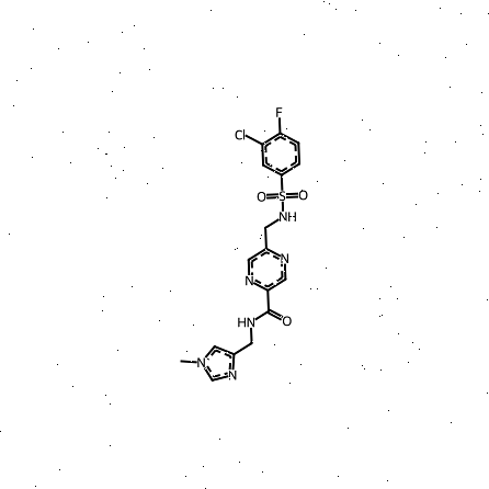 Cn1cnc(CNC(=O)c2cnc(CNS(=O)(=O)c3ccc(F)c(Cl)c3)cn2)c1